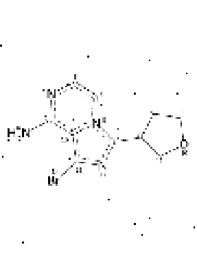 Nc1nccn2c(C3CCOC3)nc(Br)c12